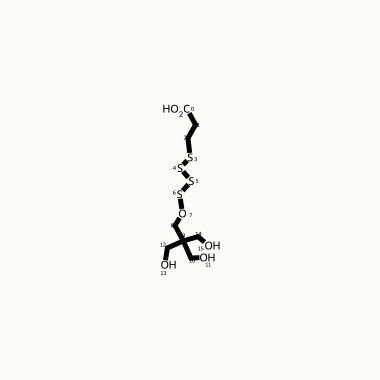 O=C(O)CCSSSSOCC(CO)(CO)CO